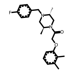 Cc1cccc(OCC(=O)N2C[C@@H](C)N(Cc3ccc(F)cc3)C[C@@H]2C)c1C